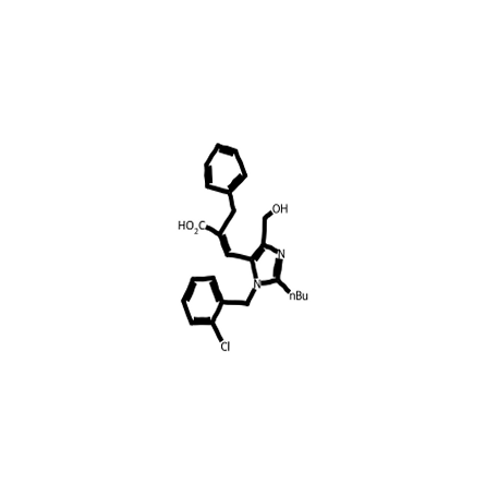 CCCCc1nc(CO)c(/C=C(\Cc2ccccc2)C(=O)O)n1Cc1ccccc1Cl